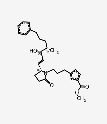 COC(=O)c1ccc(CCCN2C(=O)CC[C@@H]2C=C[C@H](O)[C@@H](C)CCCc2ccccc2)s1